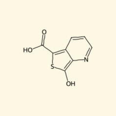 O=C(O)c1sc(O)c2ncccc12